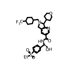 CCS(=O)(=O)c1ccc([C@H](CO)NC(=O)c2cnc3c(c2)CN(CC2CCC(C(F)(F)F)CC2)C3C2CCOCC2)cc1